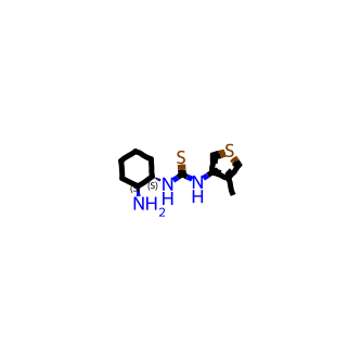 Cc1cscc1NC(=S)N[C@H]1CCCC[C@@H]1N